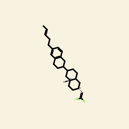 C/C=C/CCc1ccc2c(c1)CCC(C1CCC3C[C@H](C=C(F)F)CC[C@@H]3C1)C2